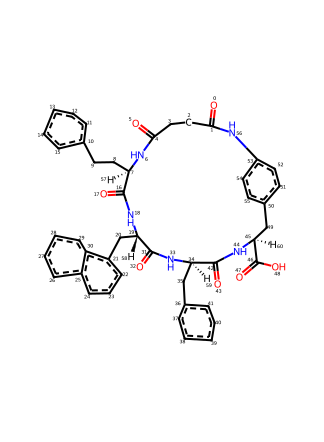 O=C1CCC(=O)N[C@H](CCc2ccccc2)C(=O)N[C@@H](Cc2cccc3ccccc23)C(=O)N[C@H](Cc2ccccc2)C(=O)N[C@H](C(=O)O)Cc2ccc(cc2)N1